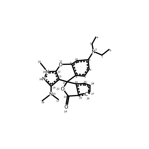 CCN(CC)c1ccc2c(c1)Oc1c(c(N(C)C)nn1C)C21OC(=O)c2ccccc21